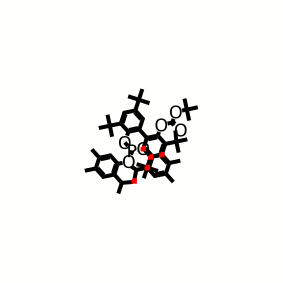 Cc1cc(OP(Oc2cc(C)c(C)cc2C(C)C)Oc2c(-c3cc(C(C)(C)C)cc(C(C)(C)C)c3OC(=O)OC(C)(C)C)cc(C(C)(C)C)cc2C(C)(C)C)c(C(C)C)cc1C